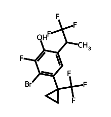 CC(c1cc(C2(C(F)(F)F)CC2)c(Br)c(F)c1O)C(F)(F)F